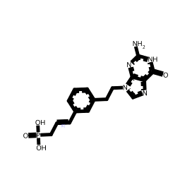 Nc1nc2c(ncn2CCc2cccc(/C=C/CP(=O)(O)O)c2)c(=O)[nH]1